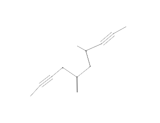 [CH2]C#CC(C)CC(C)CC#CC